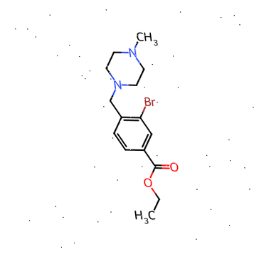 CCOC(=O)c1ccc(CN2CCN(C)CC2)c(Br)c1